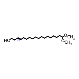 COC(CCCCCCCCCCCCC/C=C/CCO)OC